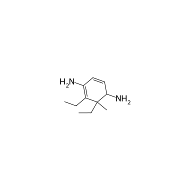 CCC1=C(N)C=CC(N)C1(C)CC